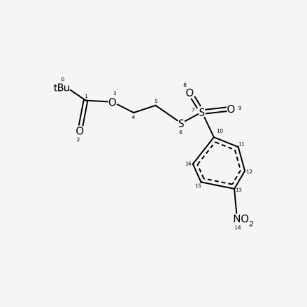 CC(C)(C)C(=O)OCCSS(=O)(=O)c1ccc([N+](=O)[O-])cc1